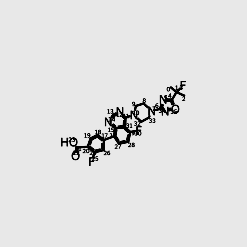 CC(C)(F)c1nc(N2CCN(c3ncnc4c(-c5ccc(C(=O)O)c(F)c5)ccc(F)c34)CC2)no1